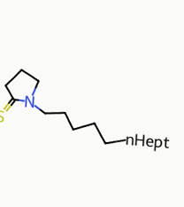 CCCCCCCCCCCCN1CCCC1=S